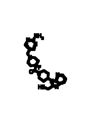 Nc1ncc(CN2CCC(F)(C(=O)N3CCC(n4c(CS)nc5cccnc54)CC3)CC2)cn1